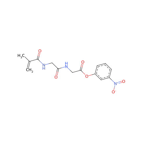 C=C(C)C(=O)NCC(=O)NCC(=O)Oc1cccc([N+](=O)[O-])c1